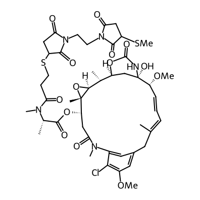 COc1cc2cc(c1Cl)N(C)C(=O)C[C@H](OC(=O)[C@H](C)N(C)C(=O)CCSC1CC(=O)N(CCN3C(=O)CC(SC)C3=O)C1=O)[C@]1(C)O[C@H]1[C@H](C)[C@@H]1C[C@@](O)(NC(=O)O1)[C@H](OC)/C=C/C=C(\C)C2